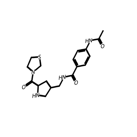 CC(=O)Nc1ccc(C(=O)NCC2CNC(C(=O)N3CCSC3)C2)cc1